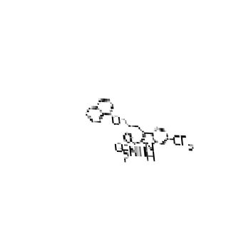 C[S+]([O-])NC(=O)c1[nH]c2cc(C(F)(F)F)ccc2c1CCCOc1cccc2ccccc12